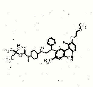 COCCOc1ccc(C#N)c(-c2cc(C(CNC3CCC(NC(=O)OC(C)(C)C)CC3)c3ccccc3)c(C)cc2Cl)c1F